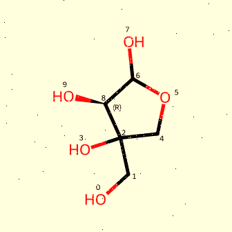 OCC1(O)COC(O)[C@@H]1O